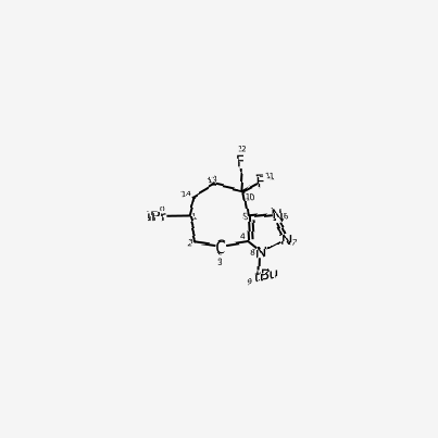 CC(C)C1CCc2c(nnn2C(C)(C)C)C(F)(F)CC1